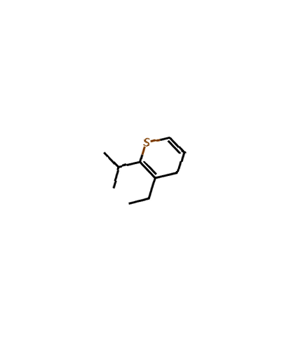 CCC1=C(C(C)C)SC=CC1